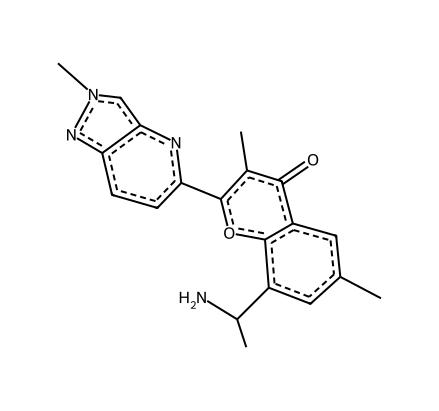 Cc1cc(C(C)N)c2oc(-c3ccc4nn(C)cc4n3)c(C)c(=O)c2c1